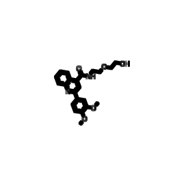 COc1ccc(-c2cc(C(=O)NCCOCCO)c3ccccc3n2)cc1OC